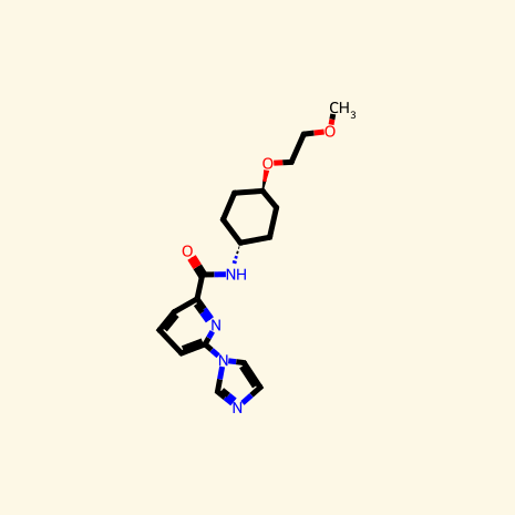 COCCO[C@H]1CC[C@H](NC(=O)c2cccc(-n3ccnc3)n2)CC1